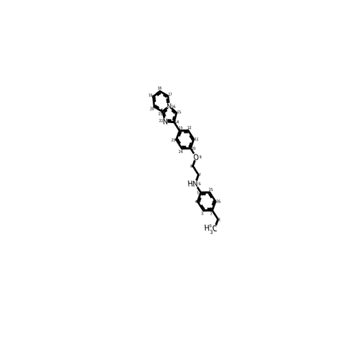 CCc1ccc(NCCOc2ccc(-c3cn4ccccc4n3)cc2)cc1